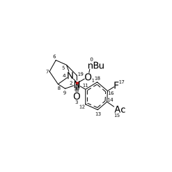 CCCCOC(=O)N1C2CCC1CN(c1ccc(C(C)=O)c(F)c1)C2